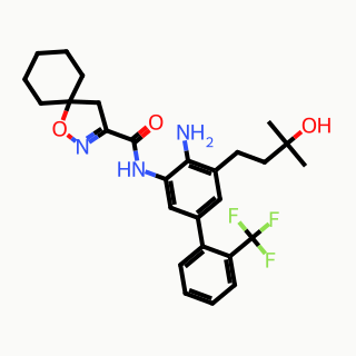 CC(C)(O)CCc1cc(-c2ccccc2C(F)(F)F)cc(NC(=O)C2=NOC3(CCCCC3)C2)c1N